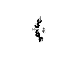 COC=O.Cc1cc(-c2ccc(CC(=O)Nc3ccc(C4=CCNCC4)nc3)cc2)ccn1